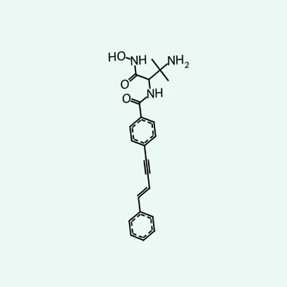 CC(C)(N)C(NC(=O)c1ccc(C#C/C=C/c2ccccc2)cc1)C(=O)NO